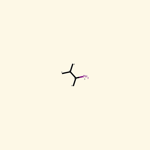 CC(C)C(C)P